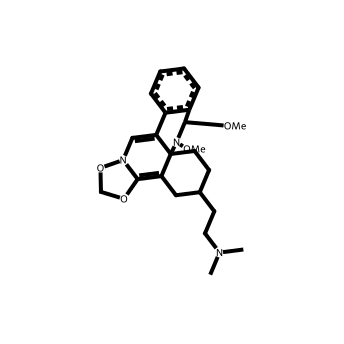 COC1c2ccccc2C2=CN3OCOC3=C3CC(CCN(C)C)CCC23N1OC